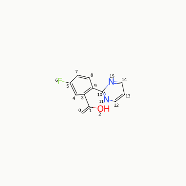 C=C(O)c1cc(F)ccc1-c1ncccn1